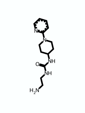 NCCNC(=O)NC1CCN(c2ccccn2)CC1